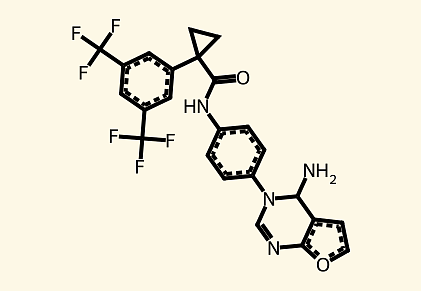 NC1c2ccoc2N=CN1c1ccc(NC(=O)C2(c3cc(C(F)(F)F)cc(C(F)(F)F)c3)CC2)cc1